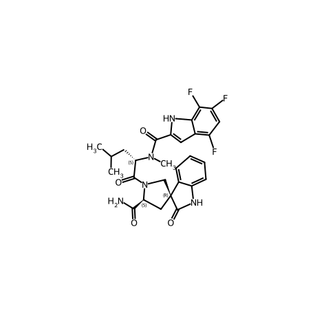 CC(C)C[C@@H](C(=O)N1C[C@]2(C[C@H]1C(N)=O)C(=O)Nc1ccccc12)N(C)C(=O)c1cc2c(F)cc(F)c(F)c2[nH]1